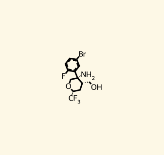 N[C@@]1(c2cc(Br)ccc2F)CO[C@@H](C(F)(F)F)C[C@H]1CO